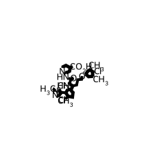 Cc1cc(OCCCc2c(C(=O)Nc3cc(C(=O)O)ccn3)[nH]c3c(-c4c(C)nn(C)c4C)c(Cl)ccc23)cc(C)c1Cl